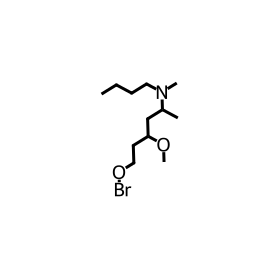 CCCCN(C)C(C)CC(CCOBr)OC